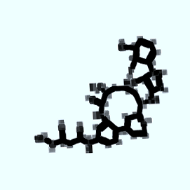 Cc1c(N[C@H]2CCC[C@@H](C)C(=O)Nc3cc(NC(=O)CC(=O)OC(C)(C)C)ccc3-c3ccnc2c3)nnn1-c1cccc(Cl)c1F